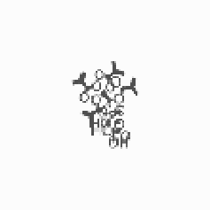 C=C(C)C(=O)OC(OP(=O)(O)OP(=O)(O)O)C(OC(=O)C(=C)C)(OC(=O)C(=C)C)OC(=O)C(=C)C